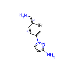 C=C(/C=C\C(=C/N)C(C)C)n1ccc(N)n1